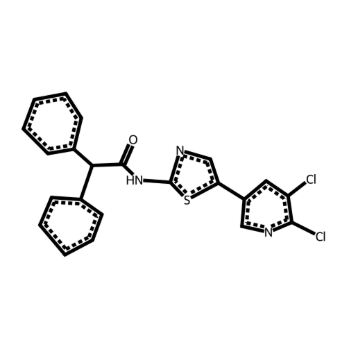 O=C(Nc1ncc(-c2cnc(Cl)c(Cl)c2)s1)C(c1ccccc1)c1ccccc1